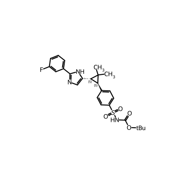 CC(C)(C)OC(=O)NS(=O)(=O)c1ccc([C@H]2[C@H](c3cnc(-c4cccc(F)c4)[nH]3)C2(C)C)cc1